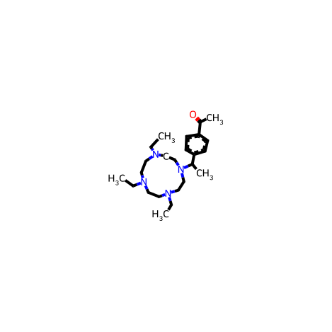 CCN1CCN(CC)CCN(C(C)c2ccc(C(C)=O)cc2)CCN(CC)CC1